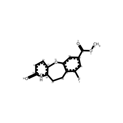 COC(=O)c1cc(F)c2c(c1)Oc1ccc(=O)[nH]c1CC2